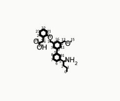 CCCC(N)c1cccc(-c2cc(COC)cc(COc3ccccc3CC(=O)O)c2)c1